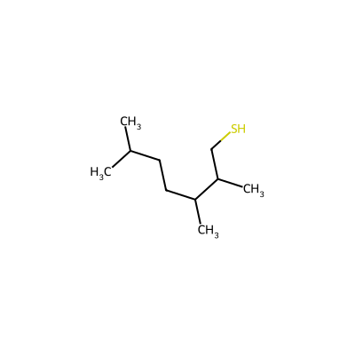 CC(C)CCC(C)C(C)CS